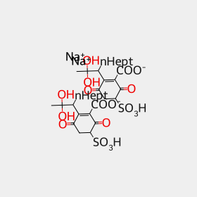 CCCCCCCC(C1=C(C(=O)[O-])C(=O)C(S(=O)(=O)O)CC1=O)C(C)(O)O.CCCCCCCC(C1=C(C(=O)[O-])C(=O)C(S(=O)(=O)O)CC1=O)C(C)(O)O.[Na+].[Na+]